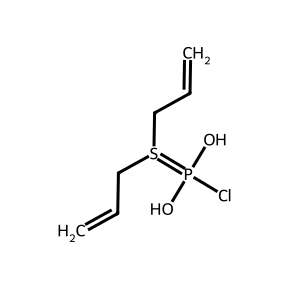 C=CCS(CC=C)=P(O)(O)Cl